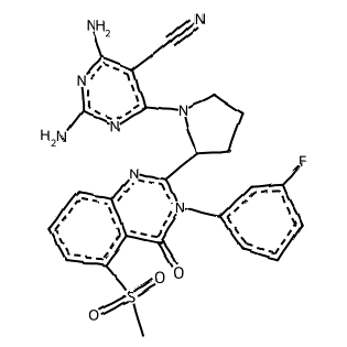 CS(=O)(=O)c1cccc2nc(C3CCCN3c3nc(N)nc(N)c3C#N)n(-c3cccc(F)c3)c(=O)c12